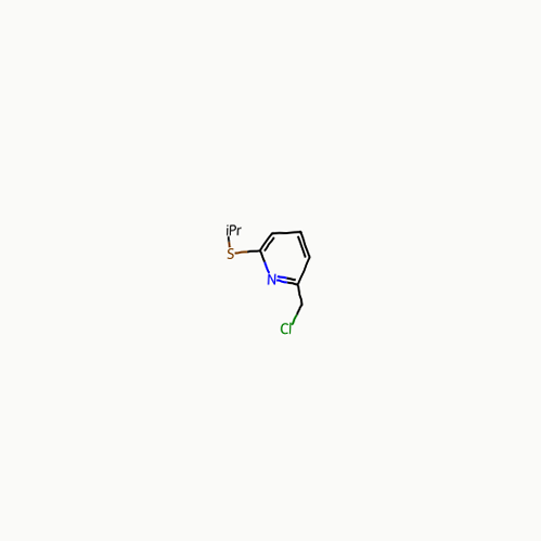 CC(C)Sc1cccc(CCl)n1